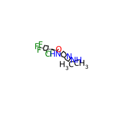 CC(C)Nc1ccc2cc(NC(=O)C#Cc3ccc(C(F)(F)F)cc3Cl)ccc2n1